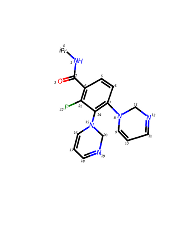 CC(C)NC(=O)c1ccc(N2C=CC=NC2)c(N2C=CC=NC2)c1F